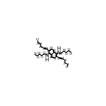 CCCCC#Cc1ccc2c(NCCCCC)c(C#CCCCC)ccc2c1NCCCCC